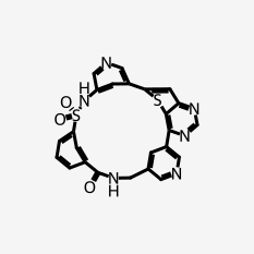 O=C1NCc2cncc(c2)-c2ncnc3cc(sc23)-c2cncc(c2)NS(=O)(=O)c2cccc1c2